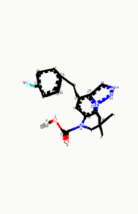 CC(C)(C)OC(=O)N1CC(C)(C)c2c1cc(Cc1ccc(F)cc1)c1cnnn21